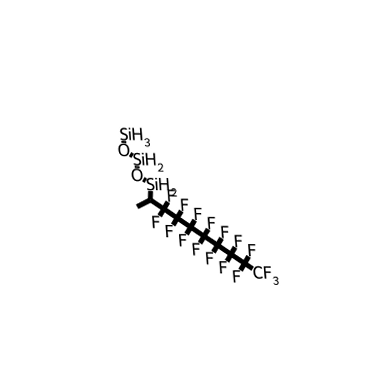 CC([SiH2]O[SiH2]O[SiH3])C(F)(F)C(F)(F)C(F)(F)C(F)(F)C(F)(F)C(F)(F)C(F)(F)C(F)(F)F